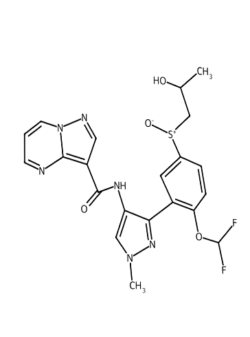 CC(O)C[S+]([O-])c1ccc(OC(F)F)c(-c2nn(C)cc2NC(=O)c2cnn3cccnc23)c1